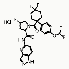 Cl.O=C(Nc1ccc2[nH]ncc2n1)[C@H]1C[C@@H](F)CN1C(=O)C1(c2ccc(OC(F)F)cc2)CCC(F)(F)CC1